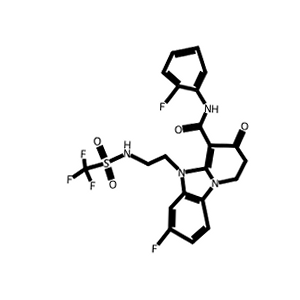 O=C1CCN2C(=C1C(=O)Nc1ccccc1F)N(CCNS(=O)(=O)C(F)(F)F)c1cc(F)ccc12